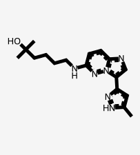 Cc1cc(-c2cnc3ccc(NCCCCC(C)(C)O)nn23)n[nH]1